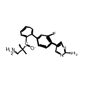 CC(C)(CN)[S+]([O-])c1ccccc1-c1ccc(-c2cnc(N)nc2)c(F)c1